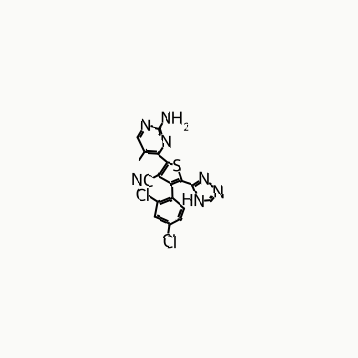 Cc1cnc(N)nc1-c1sc(-c2nnc[nH]2)c(-c2ccc(Cl)cc2Cl)c1C#N